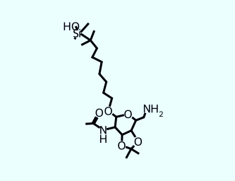 CC(=O)NC1C(OCCCCCCCC(C)(C)[Si](C)(C)O)OC(CN)C2OC(C)(C)OC12